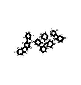 c1ccc([Si](c2ccccc2)(c2ccc(-n3c4ccccc4c4cc5c(cc43)oc3ccccc35)cc2)c2cccc(-n3c4ccccc4c4ccncc43)c2)cc1